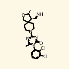 Cc1nc(N2CCC3(CC2)CO[C@@H](C)[C@H]3C=N)nc(=O)n1-c1cccc(Cl)c1Cl